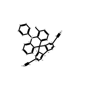 Cc1cccc2c1N(c1ccccc1)c1ccccc1C21c2cc(C#N)ccc2-c2ccc(C#N)cc21